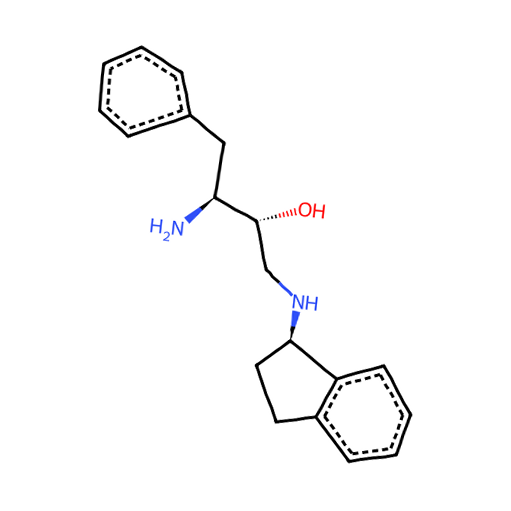 N[C@@H](Cc1ccccc1)[C@H](O)CN[C@@H]1CCc2ccccc21